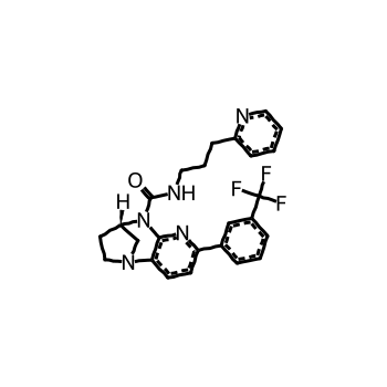 O=C(NCCCc1ccccn1)N1c2nc(-c3cccc(C(F)(F)F)c3)ccc2N2CC[C@H]1C2